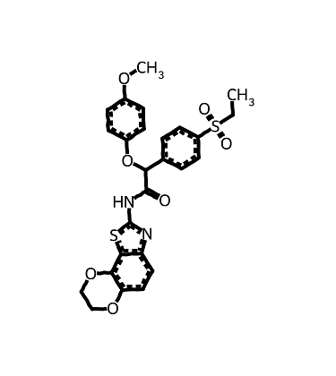 CCS(=O)(=O)c1ccc(C(Oc2ccc(OC)cc2)C(=O)Nc2nc3ccc4c(c3s2)OCCO4)cc1